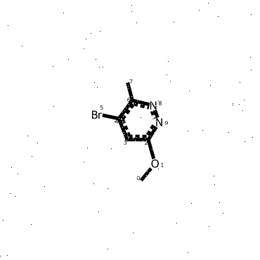 COc1cc(Br)c(C)nn1